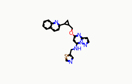 c1ccc2nc(C3CC3COc3cc(NCc4cncs4)n4nccc4n3)ccc2c1